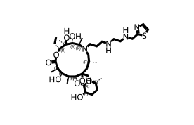 CC[C@H]1OC(=O)[C@H](C)[C@@H](O)[C@H](C)[C@@H](O[C@@H]2O[C@H](C)CC[C@H]2O)C(C)(O)C[C@@H](C)CN(CCCNCCNCc2nccs2)[C@H](C)[C@@H](O)[C@]1(C)O